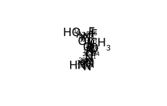 CN(CC1CC(F)(F)CN1C(=O)CCO)S(=O)(=O)N1CCN(c2ncnc3[nH]ccc23)CC12CC2